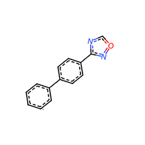 [c]1cccc(-c2ccc(-c3ncon3)cc2)c1